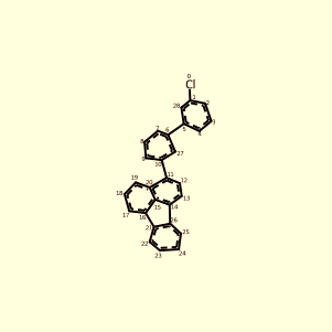 Clc1cccc(-c2cccc(-c3ccc4c5c(cccc35)-c3ccccc3-4)c2)c1